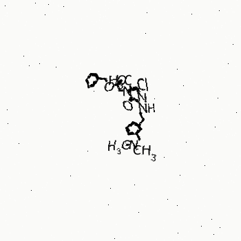 Cc1c(Cl)nc(NCCc2cccc(CN(C)C)c2)c(=O)n1CC(=O)OCc1ccccc1